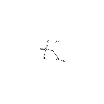 CC(=O)OCS(=O)(=O)O.[LiH]